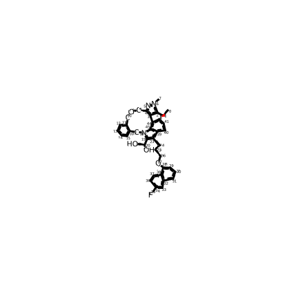 CCc1c2c(nn1C)COCc1ccccc1Cn1c(C(O)O)c(CCCOc3cccc4cc(F)ccc34)c3ccc(F)c-2c31